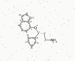 NCC[C@@H](Oc1cccc2ccoc12)c1cccs1